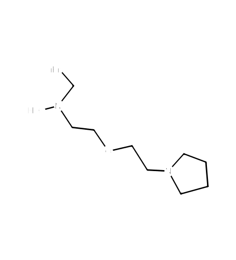 CC(C)CN(C)CCOCCN1CCCC1